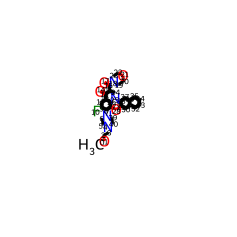 COCCN1CCN(c2c(F)cc3c(=O)c(C(=O)N4CCOCC4)cn4c3c2Oc2cc3ccccc3cc2-4)CC1